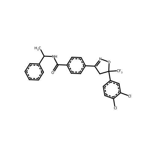 CC(NC(=O)c1ccc(C2=NOC(c3ccc(Cl)c(Cl)c3)(C(F)(F)F)C2)cc1)c1ccccc1